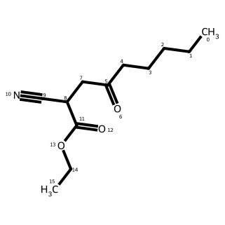 CCCCCC(=O)CC(C#N)C(=O)OCC